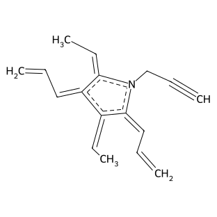 C#CCn1c(=C/C)/c(=C\C=C)c(=C/C)/c1=C\C=C